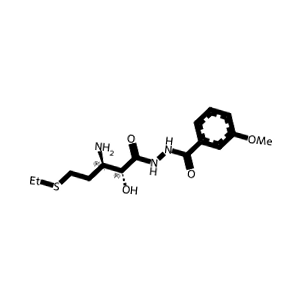 CCSCC[C@@H](N)[C@@H](O)C(=O)NNC(=O)c1cccc(OC)c1